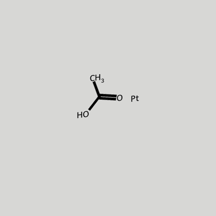 CC(=O)O.[Pt]